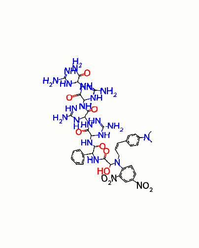 CN(C)c1ccc(/C=C\CN(c2ccc([N+](=O)[O-])cc2[N+](=O)[O-])C(O)C(=O)NC(C(=O)NC(NC(=N)N)C(=O)NC(NC(=N)N)C(=O)NC(NC(=N)N)C(=O)NC(NC(=N)N)C(N)=O)c2ccccc2)cc1